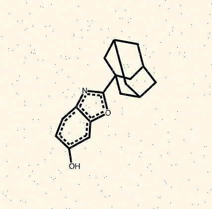 Oc1ccc2nc(C34CC5CC(CC(C5)C3)C4)oc2c1